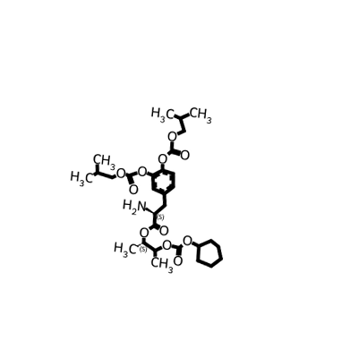 CC(C)COC(=O)Oc1ccc(C[C@H](N)C(=O)O[C@@H](C)C(C)OC(=O)OC2CCCCC2)cc1OC(=O)OCC(C)C